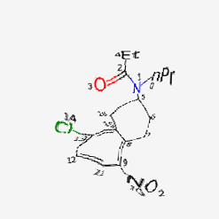 CCCN(C(=O)CC)C1CCc2c([N+](=O)[O-])ccc(Cl)c2C1